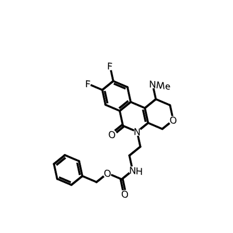 CNC1COCc2c1c1cc(F)c(F)cc1c(=O)n2CCNC(=O)OCc1ccccc1